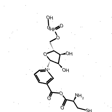 N[C@@H](CS)C(=O)OC(=O)c1ccc[n+]([C@@H]2O[C@H](CO[PH](=O)OO)[C@@H](O)[C@H]2O)c1